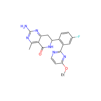 CCOc1ccnc(-c2cc(F)ccc2C2Cc3nc(N)nc(C)c3C(=O)N2)n1